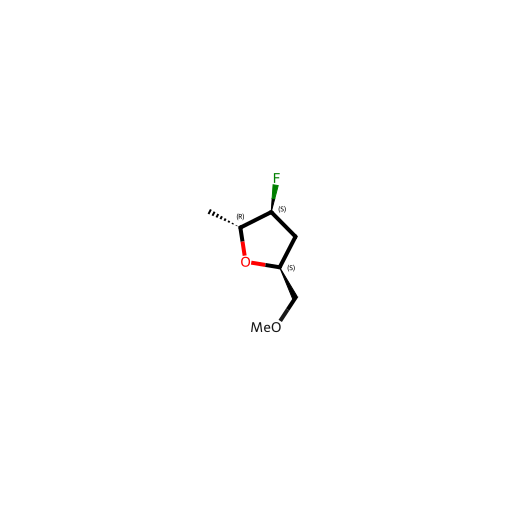 COC[C@@H]1C[C@H](F)[C@@H](C)O1